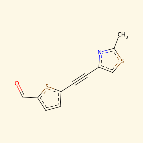 Cc1nc(C#Cc2ccc(C=O)s2)cs1